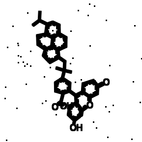 CC(C)c1ccc2ccc3c(CC(C)(C)c4ccc(C(=O)O)c(-c5c6ccc(=O)cc-6oc6cc(O)ccc56)c4)ccc4ccc1c2c43